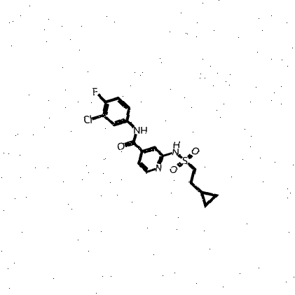 O=C(Nc1ccc(F)c(Cl)c1)c1ccnc(NS(=O)(=O)CCC2CC2)c1